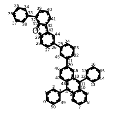 c1ccc(-c2c3ccccc3c(-c3ccccc3)c3cc(-c4cccc(-c5ccc6oc7c(-c8ccccc8)cccc7c6c5)c4)ccc23)cc1